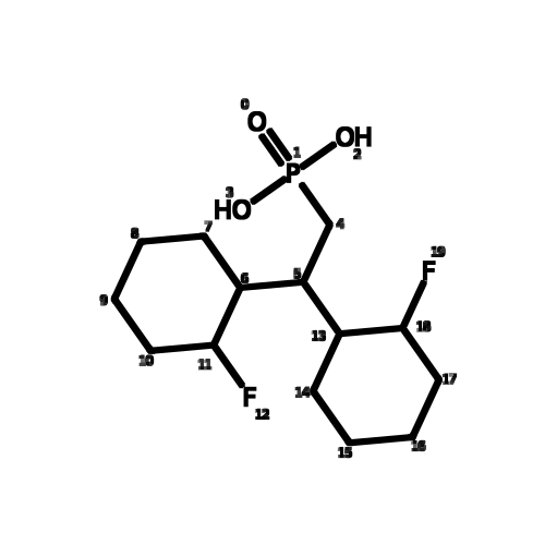 O=P(O)(O)CC(C1CCCCC1F)C1CCCCC1F